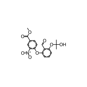 COC(=O)c1ccc(Oc2cccc(OC(C)(C)O)c2C=O)c([N+](=O)[O-])c1